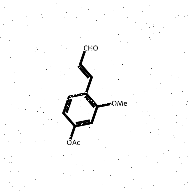 COc1cc(OC(C)=O)ccc1C=CC=O